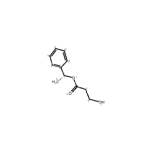 C[C@@H](OC(=O)CCO)c1ccccc1